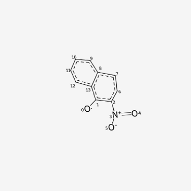 [O]c1c([N+](=O)[O-])ccc2ccccc12